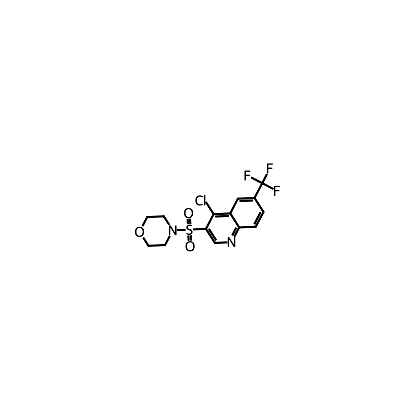 O=S(=O)(c1cnc2ccc(C(F)(F)F)cc2c1Cl)N1CCOCC1